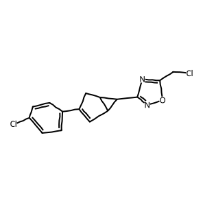 ClCc1nc(C2C3C=C(c4ccc(Cl)cc4)CC32)no1